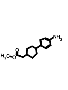 COC(=O)CC1CCC(c2ccc(N)cc2)CC1